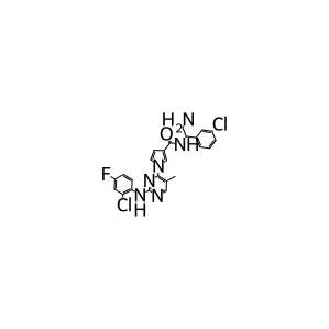 Cc1cnc(Nc2ccc(F)cc2Cl)nc1-n1ccc(C(=O)NC(CN)c2cccc(Cl)c2)c1